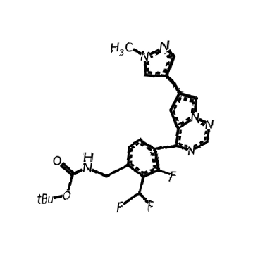 Cn1cc(-c2cc3c(-c4ccc(CNC(=O)OC(C)(C)C)c(C(F)F)c4F)ncnn3c2)cn1